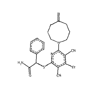 C=C1CCCN(c2nc(SC(C(N)=O)c3ccccc3)c(C#N)c(CC)c2C#N)CCC1